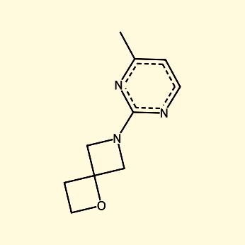 Cc1ccnc(N2CC3(CCO3)C2)n1